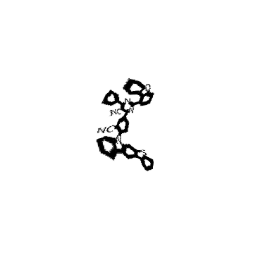 N#Cc1cc(-c2nc(-c3cccc4oc5ccccc5c34)nc(-c3ccccc3)c2C#N)ccc1-n1c2ccccc2c2cc3c(cc21)sc1ccccc13